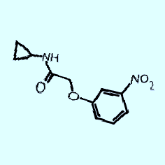 O=C(COc1cccc([N+](=O)[O-])c1)NC1CC1